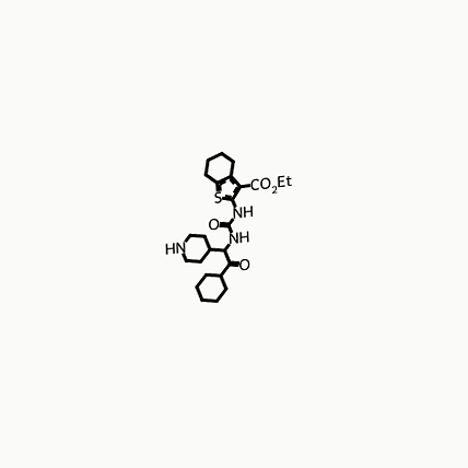 CCOC(=O)c1c(NC(=O)NC(C(=O)C2CCCCC2)C2CCNCC2)sc2c1CCCC2